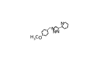 COc1ccc(Cn2cc(-c3ccccn3)nn2)cc1